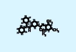 CC(=Nc1c(C)cc(C)cc1C)c1cccc(NP(c2ccccc2)c2ccccc2)c1